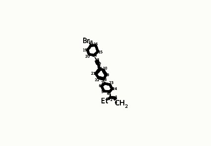 C=CC(CC)[C@H]1CC[C@H](c2ccc(C#C[C@H]3CC[C@H](Br)CC3)cc2)CC1